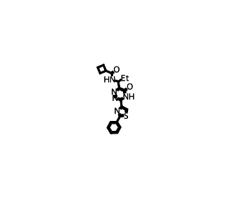 CCC(NC(=O)C1CCC1)c1nnc(-c2csc(-c3ccccc3)n2)[nH]c1=O